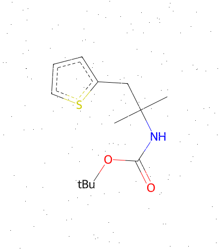 CC(C)(Cc1cccs1)NC(=O)OC(C)(C)C